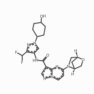 O=C(Nc1cn(C2CCC(O)CC2)nc1C(F)F)c1cnn2ccc(N3C[C@H]4C[C@@H]3CO4)nc12